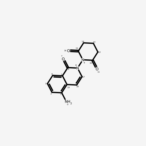 Nc1cccc2c(=O)n(N3C(=O)CCCC3=O)ccc12